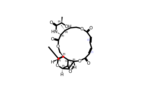 CC1=C[C@H]2O[C@@H]3C[C@H]4OC(=O)/C=C\C=C\C(=O)OCC[C@@H](C)[C@@H](NC(=O)[C@@H](C)O)C(=O)OC[C@@]2(CC1)[C@]4(C)[C@]31CO1